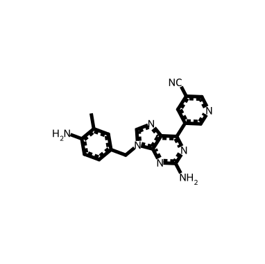 Cc1cc(Cn2cnc3c(-c4cncc(C#N)c4)nc(N)nc32)ccc1N